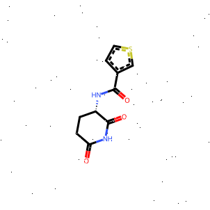 O=C1CC[C@H](NC(=O)c2ccsc2)C(=O)N1